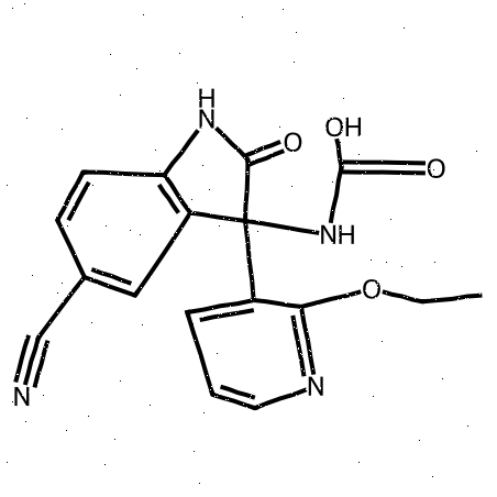 CCOc1ncccc1C1(NC(=O)O)C(=O)Nc2ccc(C#N)cc21